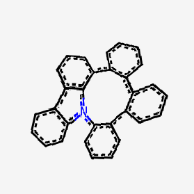 c1ccc2c(c1)c1ccccc1c1cccc3c4ccccc4n(c4ccccc24)c13